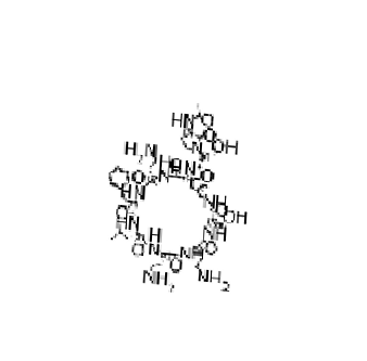 CC(=O)N[C@H]1CCN([C@H](CO)C(=O)N[C@H]2CCNC(=O)[C@H]([C@@H](C)O)NC(=O)[C@H](CCN)NC(=O)[C@H](CCN)NC(=O)[C@H](CC(C)C)NC(=O)[C@@H](Cc3ccccc3)NC(=O)[C@H](CCN)NC2=O)C1=O